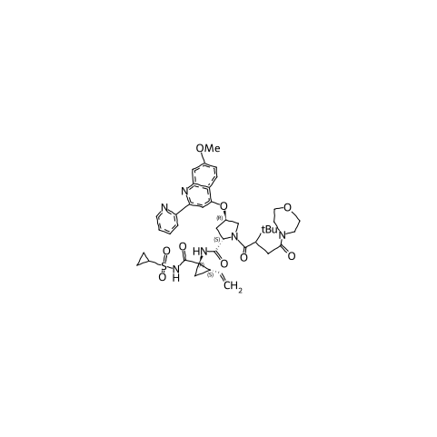 C=C[C@@H]1C[C@]1(NC(=O)[C@@H]1C[C@@H](Oc2cc(-c3ccccn3)nc3cc(OC)ccc23)CN1C(=O)C(CC(=O)N1CCOCC1)C(C)(C)C)C(=O)NS(=O)(=O)C1CC1